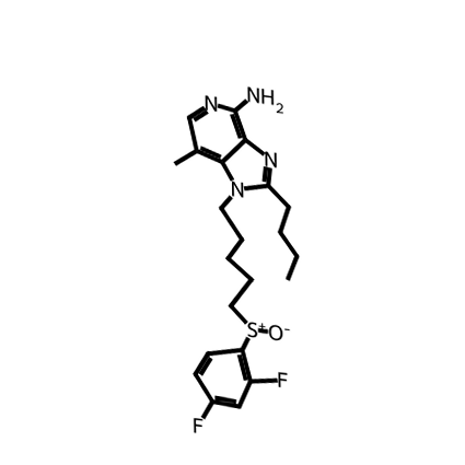 CCCCc1nc2c(N)ncc(C)c2n1CCCCC[S+]([O-])c1ccc(F)cc1F